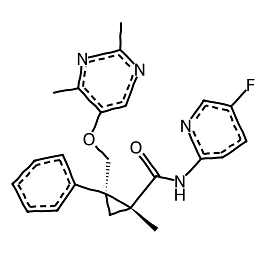 Cc1ncc(OC[C@@]2(c3ccccc3)C[C@@]2(C)C(=O)Nc2ccc(F)cn2)c(C)n1